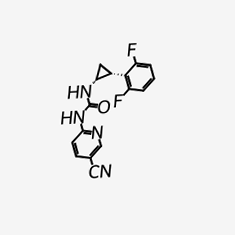 N#Cc1ccc(NC(=O)N[C@@H]2C[C@@H]2c2c(F)cccc2F)nc1